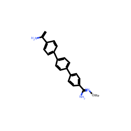 C=C(N)c1ccc(-c2ccc(-c3ccc(/C(N)=N/OC)cc3)cc2)cc1